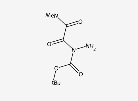 CNC(=O)C(=O)N(N)C(=O)OC(C)(C)C